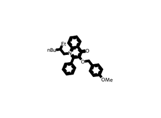 CCCCC(CC)Cn1c(-c2ccccc2)c(OCc2ccc(OC)cc2)c(=O)c2ccccc21